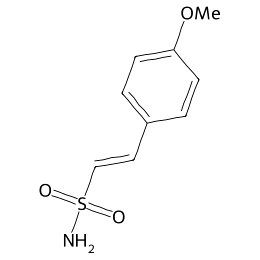 COc1ccc(C=CS(N)(=O)=O)cc1